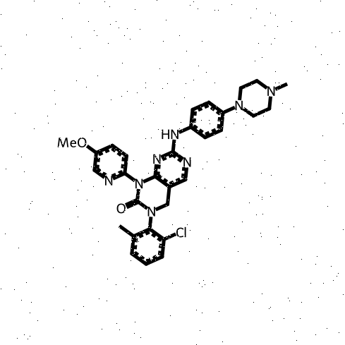 COc1ccc(N2C(=O)N(c3c(C)cccc3Cl)Cc3cnc(Nc4ccc(N5CCN(C)CC5)cc4)nc32)nc1